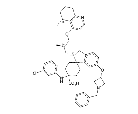 C[C@@H](COc1ccnc2c1[C@H](C)CCC2)C[C@@H]1Cc2ccc(OC3CN(Cc4ccccc4)C3)cc2C12CCC(Nc1cccc(Cl)c1)(C(=O)O)CC2